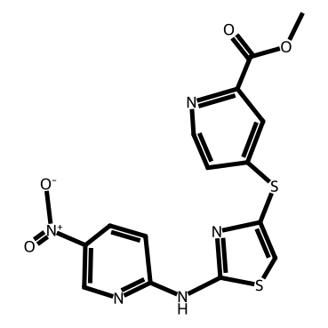 COC(=O)c1cc(Sc2csc(Nc3ccc([N+](=O)[O-])cn3)n2)ccn1